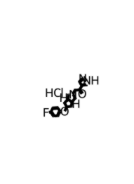 Cl.O=C(CN1C[C@H]2CC(Oc3ccc(F)cc3)C[C@H]2C1)c1cn[nH]c1